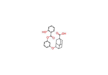 O=C(Oc1cccc(OC2C3CC4CC2CC(C(=O)O)(C4)C3)c1)c1ccccc1O